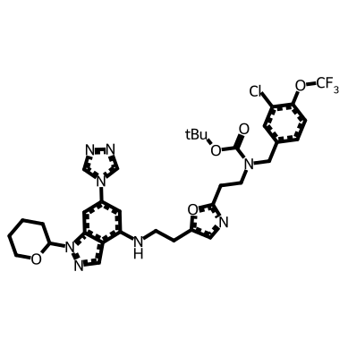 CC(C)(C)OC(=O)N(CCc1ncc(CCNc2cc(-n3cnnc3)cc3c2cnn3C2CCCCO2)o1)Cc1ccc(OC(F)(F)F)c(Cl)c1